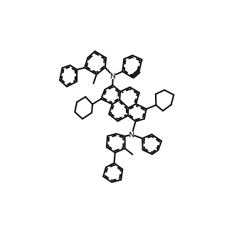 Cc1c(-c2ccccc2)cccc1N(c1c#cccc1)c1cc(C2CCCCC2)c2ccc3c(N(c4ccccc4)c4cccc(-c5ccccc5)c4C)cc(C4CCCCC4)c4ccc1c2c43